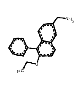 N#CCOc1ccc2cc(CN)ccc2c1-c1ccccc1